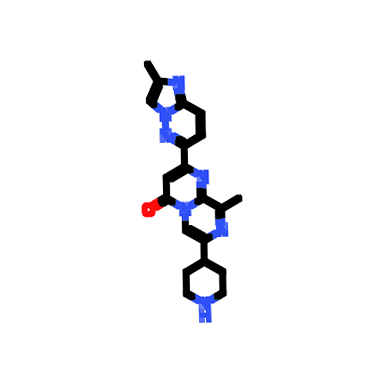 Cc1cn2nc(-c3cc(=O)n4cc(C5CCNCC5)nc(C)c4n3)ccc2n1